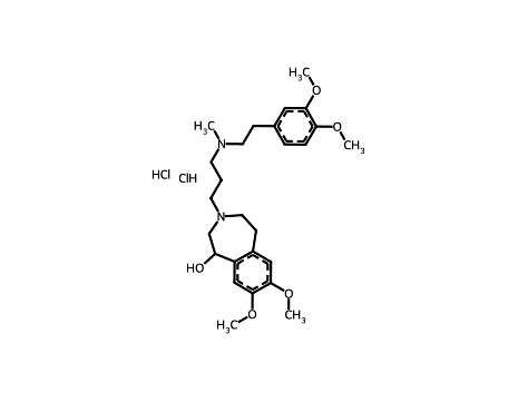 COc1ccc(CCN(C)CCCN2CCc3cc(OC)c(OC)cc3C(O)C2)cc1OC.Cl.Cl